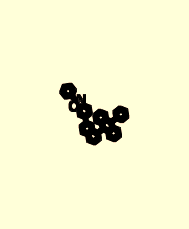 c1ccc(-c2nc3ccc(-c4ccc5cccc(-c6c7ccccc7c(-c7ccccc7)c7ccccc67)c5c4)cc3o2)cc1